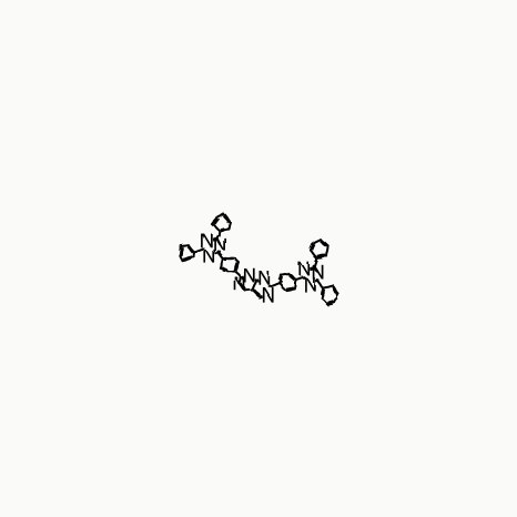 c1ccc(-c2nc(-c3ccccc3)nc(-c3ccc(-c4ncc5cnc(-c6ccc(-c7nc(-c8ccccc8)nc(-c8ccccc8)n7)cc6)nc5n4)cc3)n2)cc1